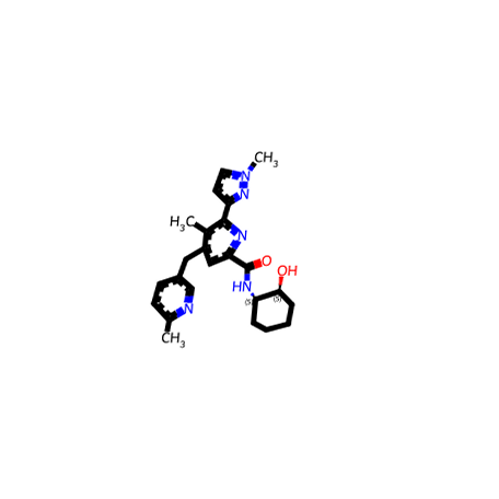 Cc1ccc(Cc2cc(C(=O)N[C@H]3CCCC[C@@H]3O)nc(-c3ccn(C)n3)c2C)cn1